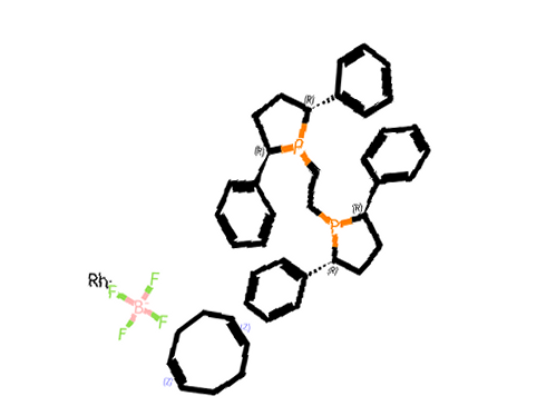 C1=C\CC/C=C\CC/1.F[B-](F)(F)F.[Rh].c1ccc([C@H]2CC[C@H](c3ccccc3)P2CCP2[C@@H](c3ccccc3)CC[C@@H]2c2ccccc2)cc1